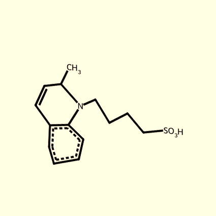 CC1C=Cc2ccccc2N1CCCCS(=O)(=O)O